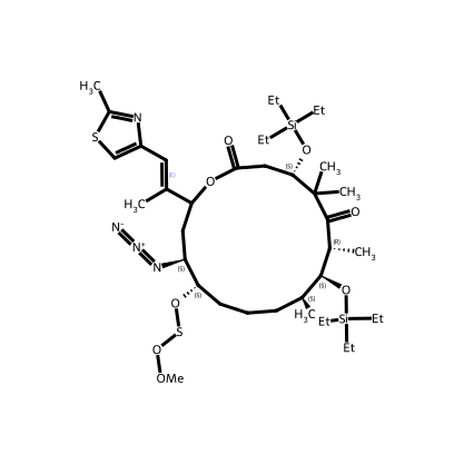 CC[Si](CC)(CC)O[C@H]1[C@@H](C)CCC[C@H](OSOOC)[C@@H](N=[N+]=[N-])CC(/C(C)=C/c2csc(C)n2)OC(=O)C[C@H](O[Si](CC)(CC)CC)C(C)(C)C(=O)[C@@H]1C